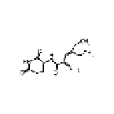 C=C(C=C(CC)CC)C(=O)NC1CCC(=O)NC1=O